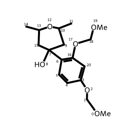 COCOc1ccc(C2(O)CC(C)OC(C)C2)c(OCOC)c1